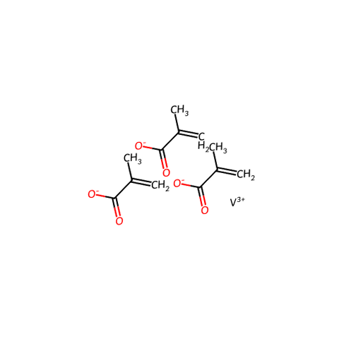 C=C(C)C(=O)[O-].C=C(C)C(=O)[O-].C=C(C)C(=O)[O-].[V+3]